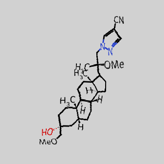 COC[C@@]1(O)CC[C@@]2(C)[C@H](CC[C@@H]3[C@@H]2CC[C@]2(C)C([C@](C)(Cn4cc(C#N)cn4)OC)CC[C@@H]32)C1